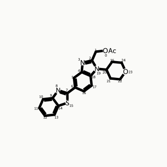 CC(=O)OCc1nc2cc(-c3nc4ccccc4s3)ccc2n1C1CCOCC1